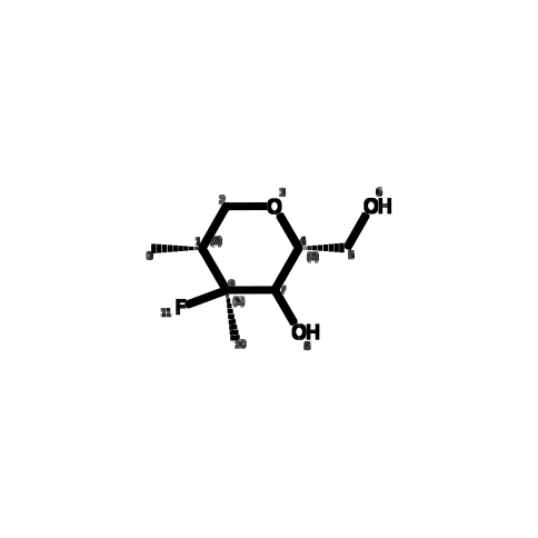 C[C@@H]1CO[C@H](CO)C(O)[C@@]1(C)F